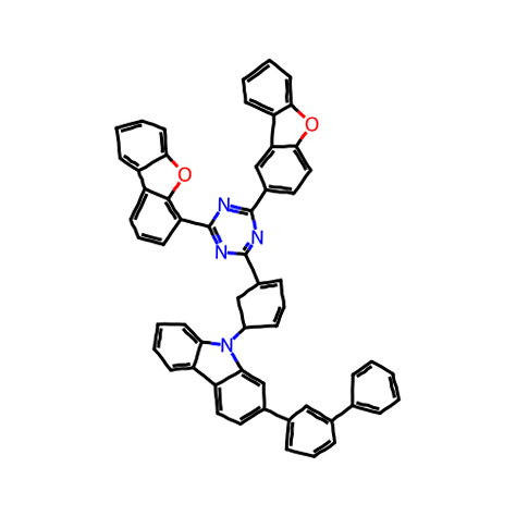 C1=CC(n2c3ccccc3c3ccc(-c4cccc(-c5ccccc5)c4)cc32)CC(c2nc(-c3ccc4oc5ccccc5c4c3)nc(-c3cccc4c3oc3ccccc34)n2)=C1